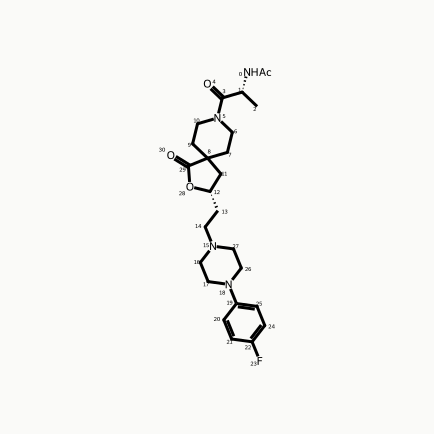 CC(=O)N[C@H](C)C(=O)N1CCC2(CC1)C[C@H](CCN1CCN(c3ccc(F)cc3)CC1)OC2=O